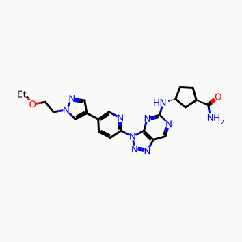 CCOCCn1cc(-c2ccc(-n3nnc4cnc(N[C@@H]5CC[C@@H](C(N)=O)C5)nc43)nc2)cn1